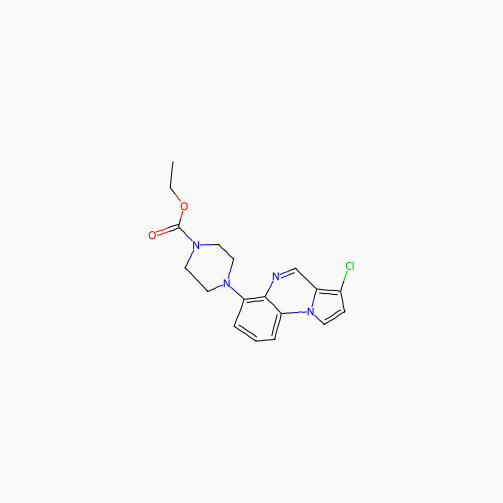 CCOC(=O)N1CCN(c2cccc3c2ncc2c(Cl)ccn23)CC1